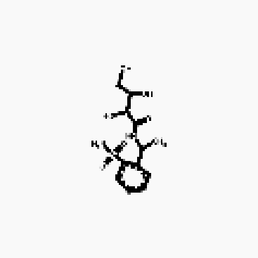 CC(NC(=O)C(O)C(O)CO)c1ccccc1S(N)(=O)=O